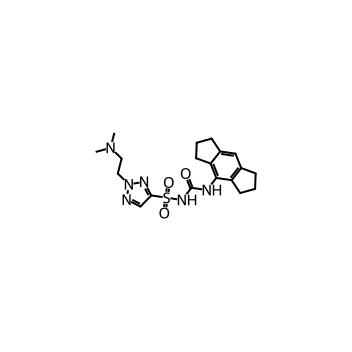 CN(C)CCn1ncc(S(=O)(=O)NC(=O)Nc2c3c(cc4c2CCC4)CCC3)n1